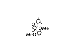 COc1cccc(OC)c1C1OCC(=O)N1Cc1c(C)cc(C)cc1C